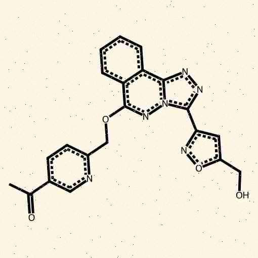 CC(=O)c1ccc(COc2nn3c(-c4cc(CO)on4)nnc3c3ccccc23)nc1